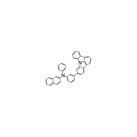 c1ccc(N(c2cccc(-c3ccc4c5cccc6c7ccccc7n(c4c3)c65)c2)c2ccc3ccccc3c2)cc1